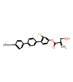 C=C(CO)C(=O)Oc1ccc(-c2ccc(-c3ccc(CCCCC)cc3)cc2)c(F)c1